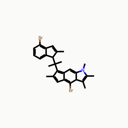 CC1=CC2=C(Br)C3C(=CC2=C1C(C)(C)C1C(C)=Cc2c(Br)cccc21)N(C)C(C)=C3C